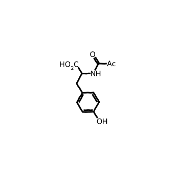 CC(=O)C(=O)NC(Cc1ccc(O)cc1)C(=O)O